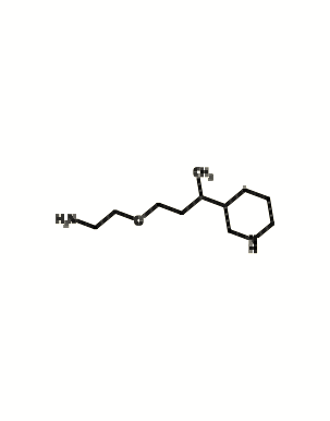 CC(CCOCCN)C1[CH]CCNC1